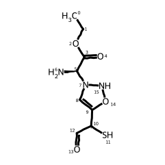 CCOC(=O)[C@H](N)N1C=C([C](S)C=O)ON1